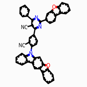 N#Cc1cc(-c2nc(-c3ccc4c(c3)oc3ccccc34)nc(-c3ccccc3)c2C#N)ccc1-n1c2ccccc2c2cc3c(cc21)oc1ccccc13